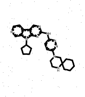 c1cc2c3cnc(Nc4ccc(N5CCNC6(CCCCC6)C5)nn4)nc3n(C3CCCC3)c2cn1